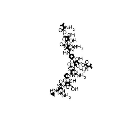 CC(C)[C@H](N)C(=O)OC[C@H]1O[C@@H](n2c(=O)sc3c(NC4CCC(O[C@@H]5[C@H](O)[C@@H](COC(=O)[C@@H](N)C(C)C)O[C@H]5n5c(=O)sc6c(N7CCC(O[C@@H]8[C@H](O)[C@@H](CO)O[C@H]8n8c(=O)sc9c(NC%10CC%10)nc(N)nc98)C7)nc(N)nc65)C4)nc(N)nc32)[C@H](O)[C@@H]1O